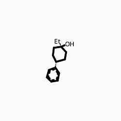 CC[C@]1(O)CC[C@H](c2ccccc2)CC1